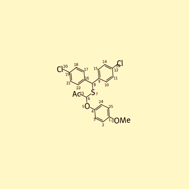 COc1ccc(OC(SC(c2ccc(Cl)cc2)c2ccc(Cl)cc2)C(C)=O)cc1